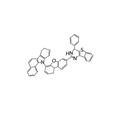 C1=Cc2c(c3ccc4ccccc4c3n2C2=C3Oc4cc(C5=Nc6c(sc7ccccc67)C(c6ccccc6)N5)ccc4C3CC=C2)CC1